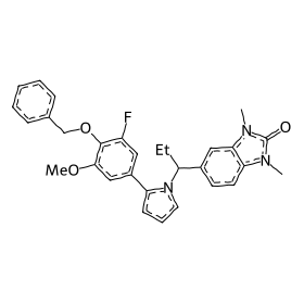 CCC(c1ccc2c(c1)n(C)c(=O)n2C)n1cccc1-c1cc(F)c(OCc2ccccc2)c(OC)c1